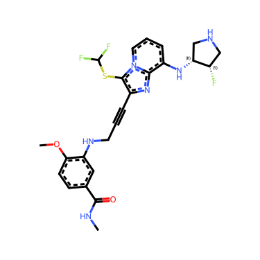 CNC(=O)c1ccc(OC)c(NCC#Cc2nc3c(N[C@@H]4CNC[C@@H]4F)cccn3c2SC(F)F)c1